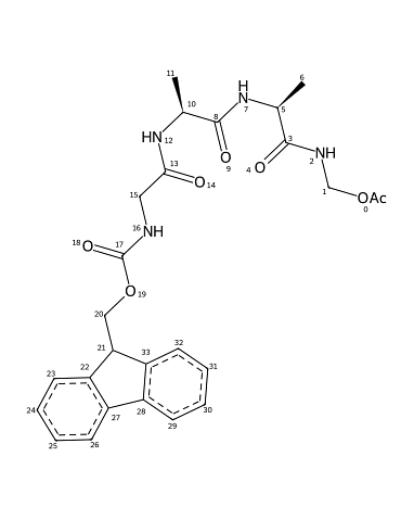 CC(=O)OCNC(=O)[C@H](C)NC(=O)[C@H](C)NC(=O)CNC(=O)OCC1c2ccccc2-c2ccccc21